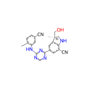 Cc1ccc(C#N)cc1Nc1ncnc(-c2cc(C#N)c3c(c2)[C@@](C)(CO)CN3)n1